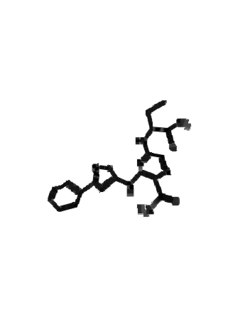 CCC(Nc1cnc(C(N)=O)c(Nc2cc(-c3ccccc3)ns2)n1)C(N)=O